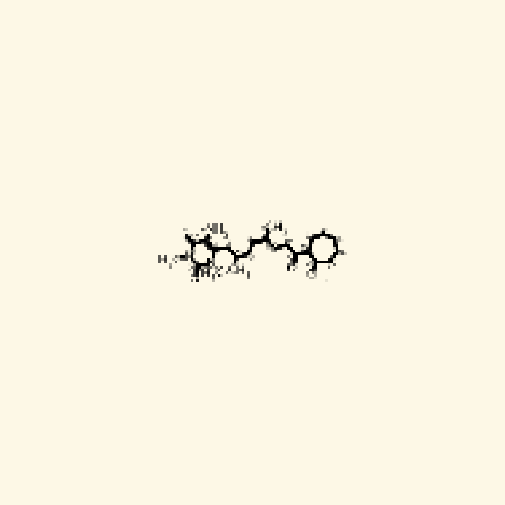 C/C(=C/CC(C)Cc1c(N)c(=S)n(C)c(=O)n1C)SCC(=O)C1CCCCCC1C